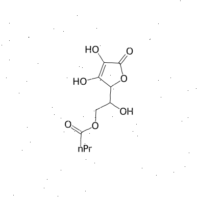 CCCC(=O)OCC(O)C1OC(=O)C(O)=C1O